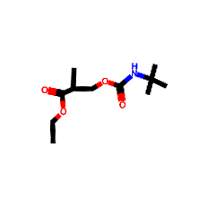 CCOC(=O)C(C)COC(=O)NC(C)(C)C